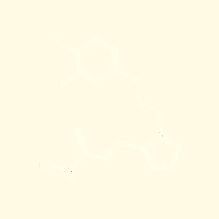 O=C(/C=C/c1cccn1CCOc1ccc(F)c(F)c1)NO